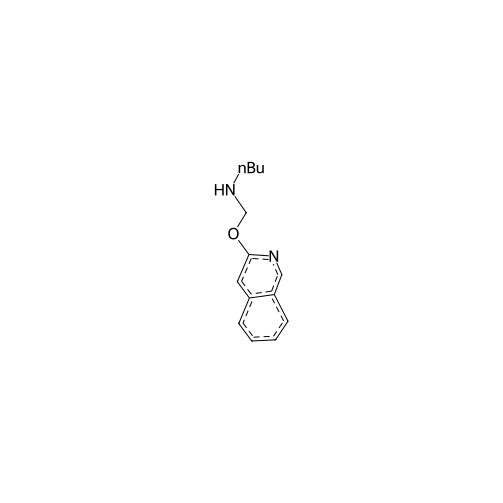 CCCCNCOc1cc2ccccc2cn1